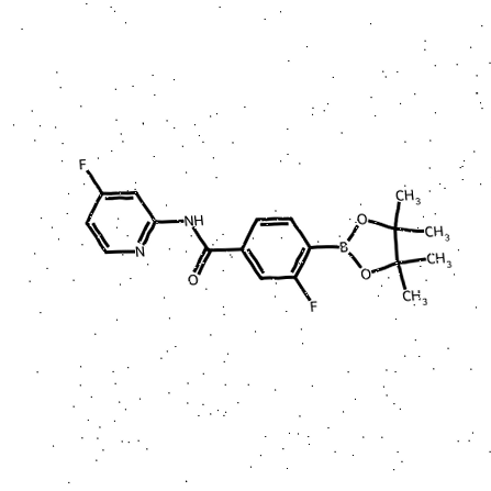 CC1(C)OB(c2ccc(C(=O)Nc3cc(F)ccn3)cc2F)OC1(C)C